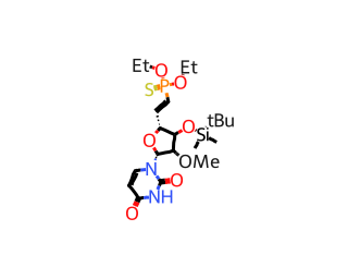 CCOP(=S)(/C=C/[C@H]1O[C@@H](n2ccc(=O)[nH]c2=O)C(OC)C1O[Si](C)(C)C(C)(C)C)OCC